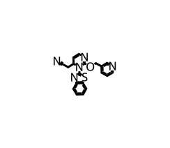 N#CCC1C=CN=C(OCc2cccnc2)N1c1nc2ccccc2s1